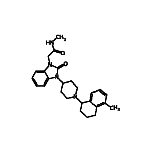 CNC(=O)Cn1c(=O)n(C2CCN(C3CCCc4c(C)cccc43)CC2)c2ccccc21